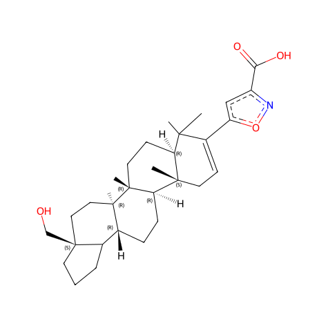 CC1(C)C(c2cc(C(=O)O)no2)=CC[C@]2(C)[C@H]3CC[C@@H]4C5CCC[C@]5(CO)CC[C@@]4(C)[C@]3(C)CC[C@@H]12